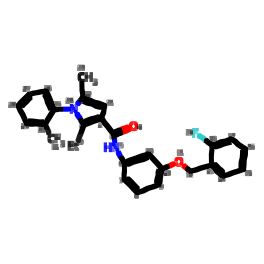 CCc1c(C(=O)Nc2cccc(OCc3ccccc3F)c2)cc(C)n1-c1ccccc1C(F)(F)F